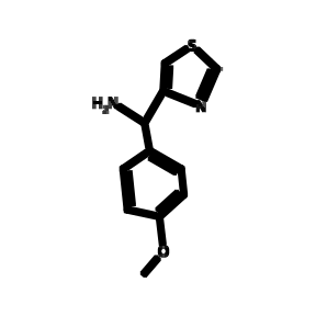 COc1ccc(C(N)c2cs[c]n2)cc1